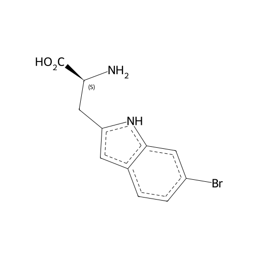 N[C@@H](Cc1cc2ccc(Br)cc2[nH]1)C(=O)O